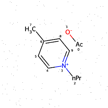 CC(=O)[O-].CCC[n+]1ccc(C)cc1